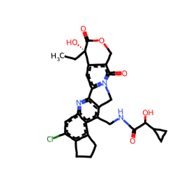 CC[C@@]1(O)C(=O)OCc2c1cc1n(c2=O)Cc2c-1nc1cc(Cl)c3c(c1c2CNC(=O)C(O)C1CC1)CCC3